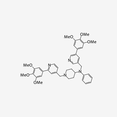 COc1cc(-c2cncc(CN(c3ccccc3)C3CCN(Cc4ccnc(-c5cc(OC)c(OC)c(OC)c5)c4)CC3)c2)cc(OC)c1OC